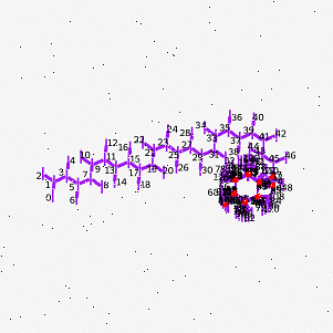 II(I)I(I)I(I)I(I)I(I)I(I)I(I)I(I)I(I)I(I)I(I)I(I)I(I)I(I)I(I)I(I)I(I)I(I)I(I)I(I)I(I)I(I)I(I)I(I)I(I)I(I)I(I)I(I)I(I)I(I)I(I)I(I)I(I)I(I)I(I)I(I)I(I)I(I)I(I)I(I)I(I)I(I)I(I)I(I)I(I)I(I)I(I)I(I)I(I)I(I)I(I)I(I)I(I)I(I)I(I)I(I)I(I)I(I)I(I)I(I)I(I)I(I)I(I)I(I)I